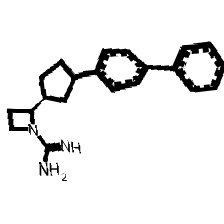 N=C(N)N1CCC1[C@H]1CCC(c2ccc(-c3ccccc3)cc2)C1